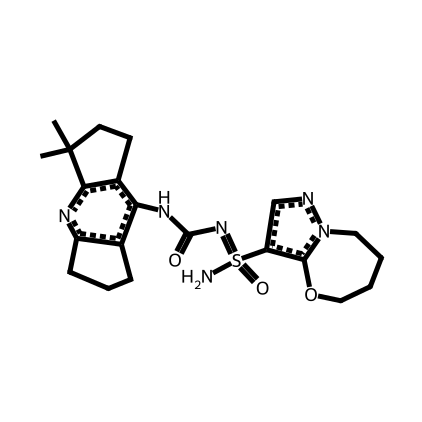 CC1(C)CCc2c1nc1c(c2NC(=O)N=S(N)(=O)c2cnn3c2OCCCC3)CCC1